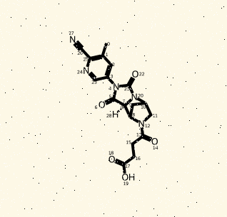 Cc1cc(N2C(=O)[C@@H]3C4CC(CN4C(=O)CCC(=O)O)N3C2=O)cnc1C#N